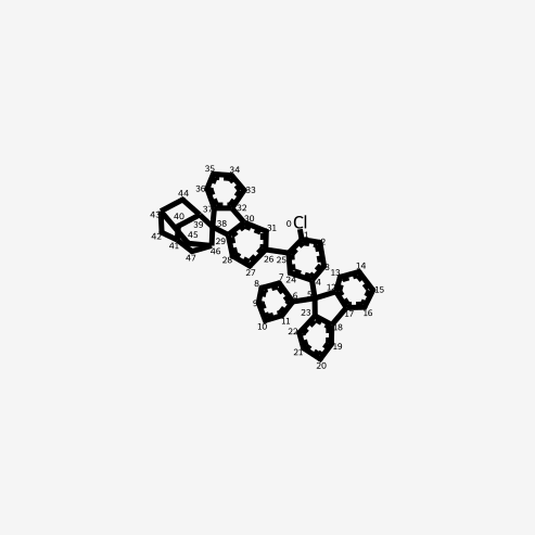 Clc1ccc(C2(c3ccccc3)c3ccccc3-c3ccccc32)cc1-c1ccc2c(c1)-c1ccccc1C21C2CC3CC(C2)CC1C3